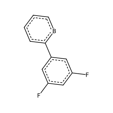 Fc1cc(F)cc(-c2bcccc2)c1